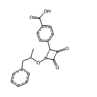 CC(Cc1ccccc1)ON1C(=O)C(=O)C1c1ccc(C(=O)O)cc1